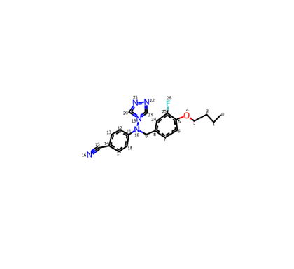 CCCCOc1ccc(CN(c2ccc(C#N)cc2)n2cnnc2)cc1F